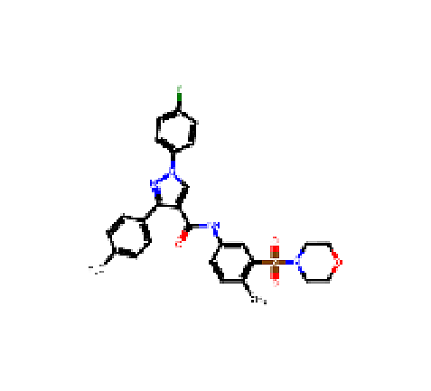 Cc1ccc(-c2nn(-c3ccc(F)cc3)cc2C(=O)Nc2ccc(C)c(S(=O)(=O)N3CCOCC3)c2)cc1